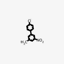 [CH2]c1cc(-c2ccc(Cl)cc2)cc([N+](=O)[O-])c1